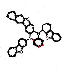 C1=Cc2c(sc3ccccc23)C(N(c2ccccc2)c2cc3sc4cc5ccccc5cc4c3cc2N(c2ccccc2)c2ccc3c(c2)oc2ccccc23)C1